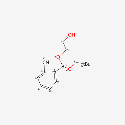 CC(C)(C)COB(OCCO)c1ccccc1C#N